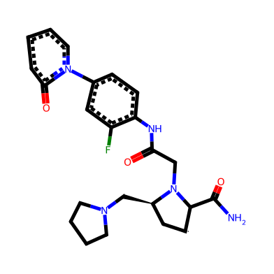 NC(=O)C1[CH]C[C@@H](CN2CCCC2)N1CC(=O)Nc1ccc(-n2ccccc2=O)cc1F